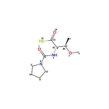 CO[C@H](C)[C@H](NC(=O)N1CCCC1)C(=O)S